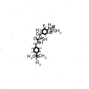 CC(c1ccc(NS(C)(=O)=O)c(F)c1)N(S)C(=O)NCc1ccc(C(C)(C)C)cc1